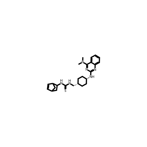 CN(C)c1nc(N[C@H]2CC[C@@H](CNC(=S)NC3CC4C=CC3C4)CC2)nc2ccccc12